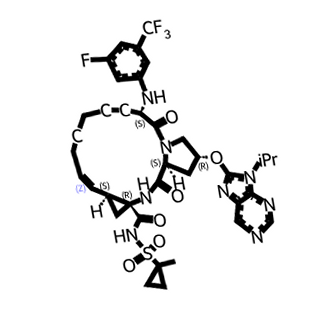 CC(C)n1c(O[C@@H]2C[C@H]3C(=O)N[C@]4(C(=O)NS(=O)(=O)C5(C)CC5)C[C@H]4/C=C\CCCCC[C@H](Nc4cc(F)cc(C(F)(F)F)c4)C(=O)N3C2)nc2cncnc21